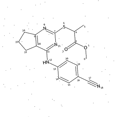 COC(=O)C(C)Sc1nc2c(c(Nc3ccc(C#N)cc3)n1)CCC2